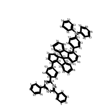 c1ccc(-c2nc(-c3ccccc3)nc(-c3ccc(-c4cccc5c4-c4ccccc4C54c5ccccc5-c5c(-c6ccc(N(c7ccccc7)c7ccccc7)cc6)cccc54)cc3)n2)cc1